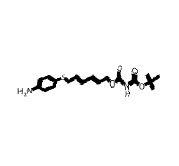 CC(C)(C)OC(=O)NC(=O)OCCCCCCSc1ccc(N)cc1